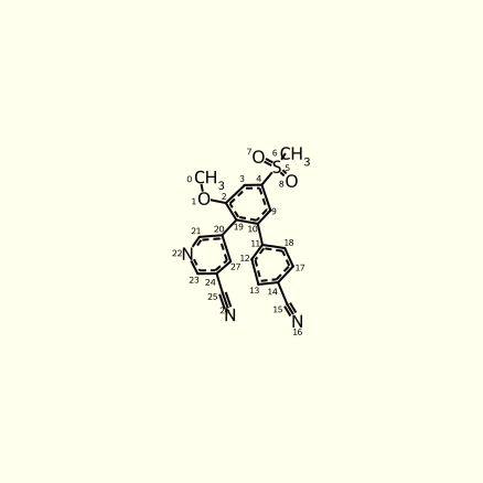 COc1cc(S(C)(=O)=O)cc(-c2ccc(C#N)cc2)c1-c1cncc(C#N)c1